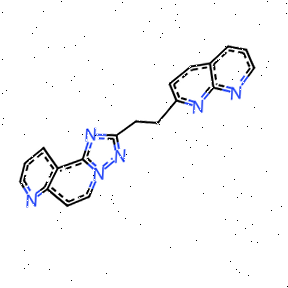 c1cnc2nc(CCc3nc4c5cccnc5ccn4n3)ccc2c1